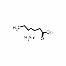 CCCCCCC(=O)O.[SnH2]